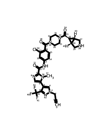 C#CCn1cc(-c2cnc(C(=O)Nc3ccc(C(=O)N4CCN(C(=O)[C@H]5[C@@H]6CNC[C@@H]65)CC4)c(Cl)c3)n2C)c(C(F)(F)F)n1